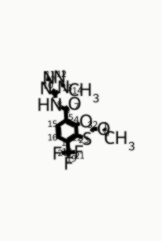 COC1Oc2c(C(=O)Nc3nnnn3C)ccc(C(F)(F)F)c2S1